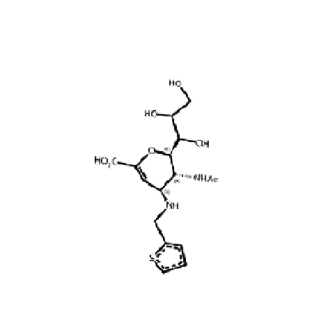 CC(=O)N[C@@H]1[C@@H](NCc2cccs2)C=C(C(=O)O)O[C@H]1C(O)C(O)CO